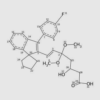 COC(/C=C/C1=C(c2ccc(F)cc2)c2ccccc2C12CCCC2)(CC(O)CC(=O)O)OC